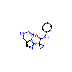 O=C(Nc1ccccc1)C1(n2ncc3c2N=CNC3)CC1